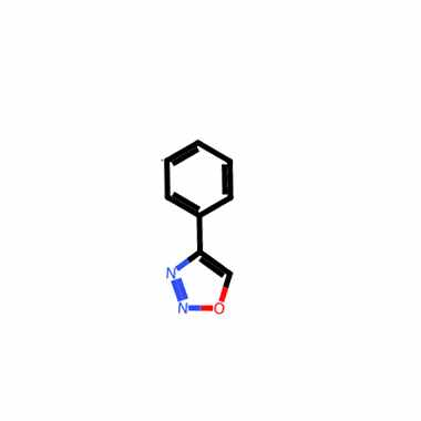 [c]1cccc(-c2conn2)c1